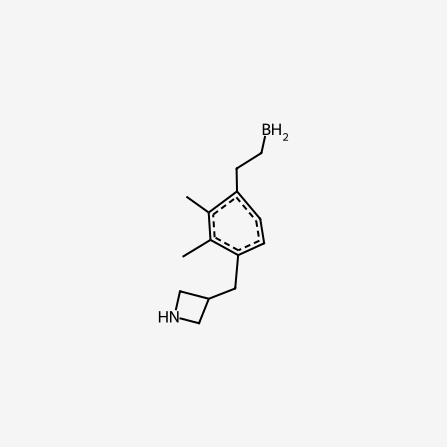 BCCc1ccc(CC2CNC2)c(C)c1C